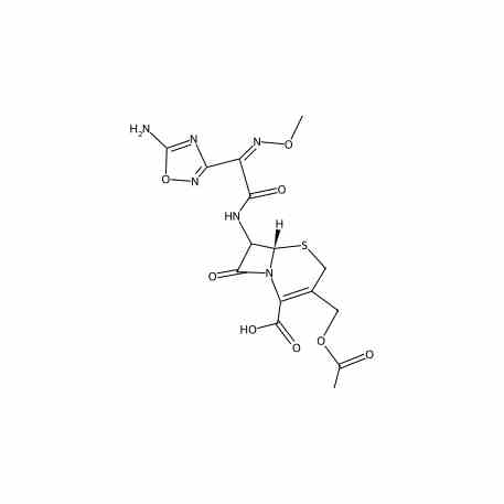 CO/N=C(\C(=O)NC1C(=O)N2C(C(=O)O)=C(COC(C)=O)CS[C@@H]12)c1noc(N)n1